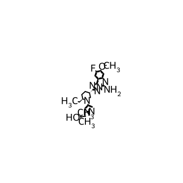 CC[C@H]1CC[C@H](c2nc3c4cc(F)c(OC)cc4nc(N)n3n2)CN1c1cnn(CC(C)(C)O)c1